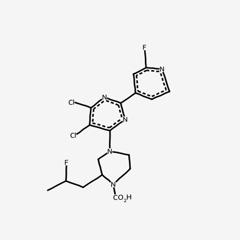 CC(F)CC1CN(c2nc(-c3ccnc(F)c3)nc(Cl)c2Cl)CCN1C(=O)O